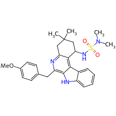 COc1ccc(Cc2nc3c(c4c2[nH]c2ccccc24)C(NS(=O)(=O)N(C)C)CC(C)(C)C3)cc1